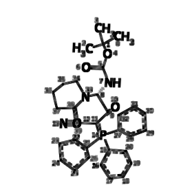 CC(C)(C)OC(=O)N[C@H](C(=O)C(C#N)=P(c1ccccc1)(c1ccccc1)c1ccccc1)N1CCCCC1=O